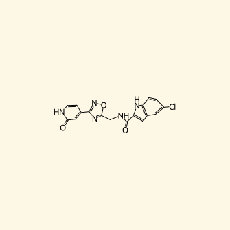 O=C(NCc1nc(-c2cc[nH]c(=O)c2)no1)c1cc2cc(Cl)ccc2[nH]1